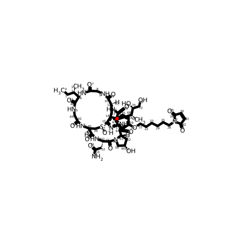 CC[C@H](C)[C@@H]1NC(=O)CNC(=O)[C@@H]2Cc3c([nH]c4cc(OCCCCCCN5C(=O)C=CC5=O)ccc34)[S@+]([O-])C[C@H](NC(=O)CNC1=O)C(=O)N[C@@H](CC(N)=O)C(=O)N1C[C@H](O)C[C@H]1C(=O)N[C@@H]([C@@H](C)[C@@H](O)CO)C(=O)N2